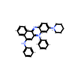 c1ccc(Nc2cc3c(nc4ccc(N5CCCCC5)cc4[n+]3-c3ccccc3)c3ccccc23)cc1